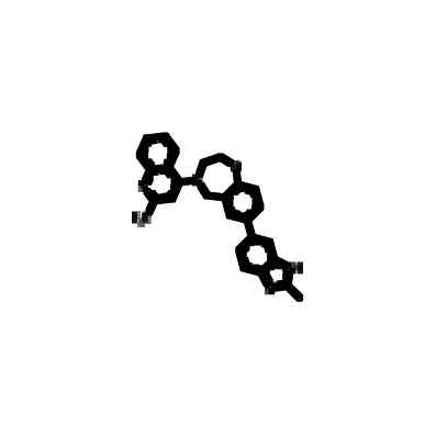 Cc1nc2ccc(-c3ccc4c(c3)CN(c3cc(C(F)(F)F)nc5ccccc35)CCO4)cc2[nH]1